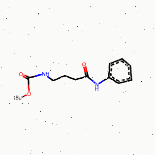 CC(C)(C)OC(=O)NCCCC(=O)Nc1ccccc1